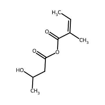 CC=C(C)C(=O)OC(=O)CC(C)O